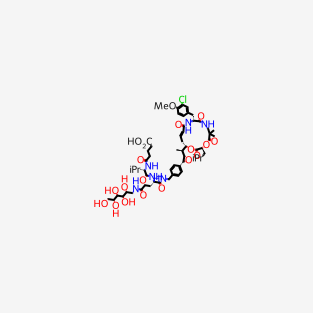 COc1ccc(C[C@H]2NC(=O)/C=C/C[C@@H]([C@H](C)[C@H]3O[C@@H]3c3ccc(CNC(=O)[C@H](CCC(=O)NC[C@H](O)[C@@H](O)[C@H](O)[C@H](O)CO)NC(=O)[C@@H](NC(=O)CCCC(=O)O)C(C)C)cc3)OC(=O)[C@H](CC(C)C)OC(=O)C(C)(C)CNC2=O)cc1Cl